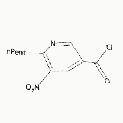 CCCCCc1ncc(C(=O)Cl)cc1[N+](=O)[O-]